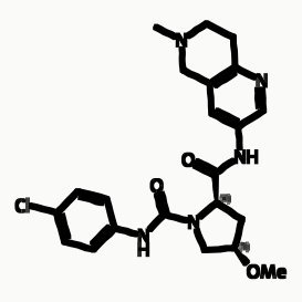 CO[C@@H]1C[C@H](C(=O)Nc2cnc3c(c2)CN(C)CC3)N(C(=O)Nc2ccc(Cl)cc2)C1